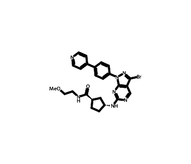 COCCNC(=O)[C@@H]1CC[C@@H](Nc2ncc3c(Br)nn(-c4ccc(-c5ccncc5)cc4)c3n2)C1